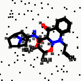 C=CCN1c2ccccc2C(=O)C(C(=O)NC2CC3CCC(C2)N3C)N1O[C@@H](C(=O)O)[C@@H](O)C(=O)O